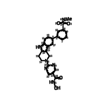 CNS(=O)(=O)c1cccc(-c2ccc3[nH]c4c(c3c2)CN(c2ncc(C(=O)NO)cn2)CC4)c1